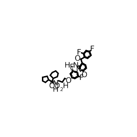 Nc1c(C(=O)c2ccc(F)cc2F)ccc(=O)n1-c1c(F)cc(OCCCN[C@](C(=O)O)(C2CCCCC2)C2CCCC2)cc1F